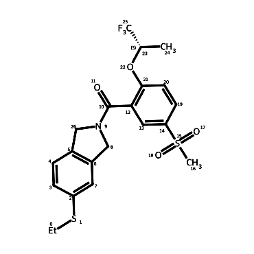 CCSc1ccc2c(c1)CN(C(=O)c1cc(S(C)(=O)=O)ccc1O[C@@H](C)C(F)(F)F)C2